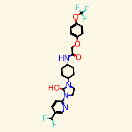 O=C(COc1ccc(OC(F)(F)F)cc1)N[C@H]1CC[C@H](N2CCN(c3ccc(C(F)F)cn3)C2O)CC1